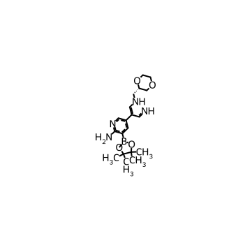 CC1(C)OB(c2cc(/C(C=N)=C/NC[C@H]3COCCO3)cnc2N)OC1(C)C